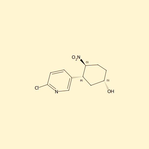 O=[N+]([O-])[C@H]1CC[C@H](O)C[C@@H]1c1ccc(Cl)nc1